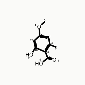 COc1cc(C)c(C(=O)O)c(O)c1